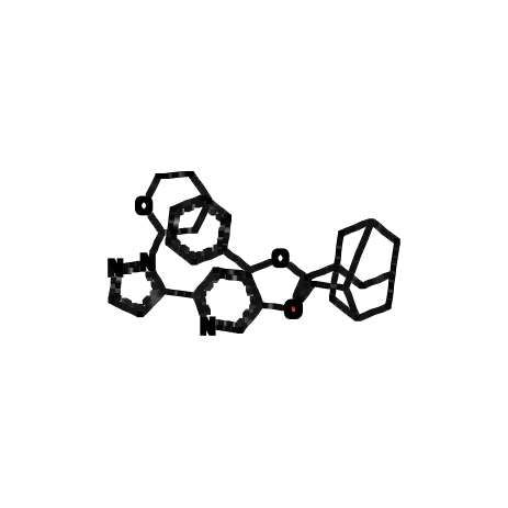 O=C(OCc1ccccc1)C12CC3CC(C1)C(COc1ccc(-c4ccnn4C4CCCCO4)nc1)C(C3)C2